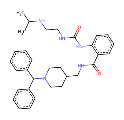 CC(C)NCCNC(=O)Nc1ccccc1C(=O)NCC1CCN(C(c2ccccc2)c2ccccc2)CC1